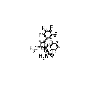 NS(=O)(=O)c1ccccc1-n1nc(C(F)(F)F)cc1-c1cc(F)c(F)c(F)c1F